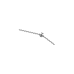 CCCCCCCCCCCCCCCCCCCN1C=CN(CCCCCCCCCCCCC)C1C(C)C